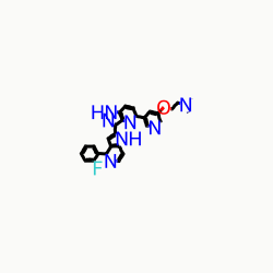 CN(C)CCOc1cncc(-c2ccc3[nH]nc(-c4cc5c(-c6ccccc6F)nccc5[nH]4)c3n2)c1